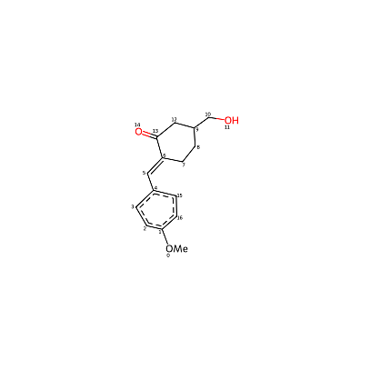 COc1ccc(C=C2CCC(CO)CC2=O)cc1